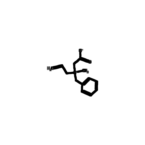 C=CC[N+](C)(CC(=O)[O-])Cc1ccccc1